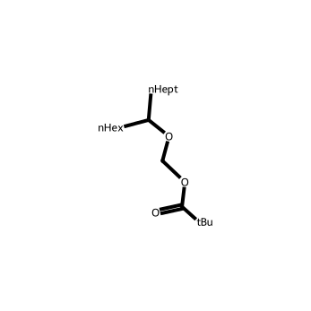 CCCCCCCC(CCCCCC)OCOC(=O)C(C)(C)C